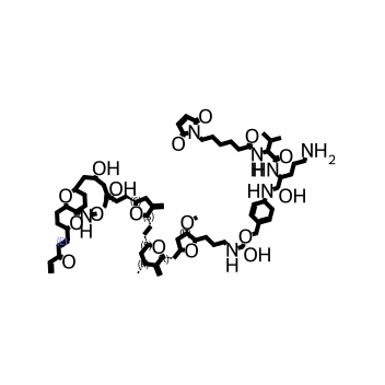 C=CC(=O)/C=C/C1CCC2OC3CCC2(NOC[C@](O)(CC[C@H]2CC(=C)[C@H](CC[C@H]4C[C@@H](C)C(=C)[C@@H](CC5C[C@@H](OC)C(CCCNC(O)OCC6=CCC(NC(O)C(CCCN)NC(=O)C(NC(=O)CCCCCN7C(=O)C=CC7=O)C(C)C)C=C6)O5)O4)O2)CC(O)C3)O1